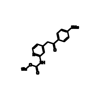 CSc1ccc(C(=O)Cc2ccnc(NC(=O)OC(C)(C)C)c2)cc1